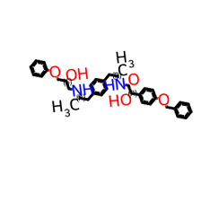 C[C@H](Cc1ccc(C[C@@H](C)NC(=O)[C@H](O)c2ccc(OCc3ccccc3)cc2)cc1)NC[C@H](O)COc1ccccc1